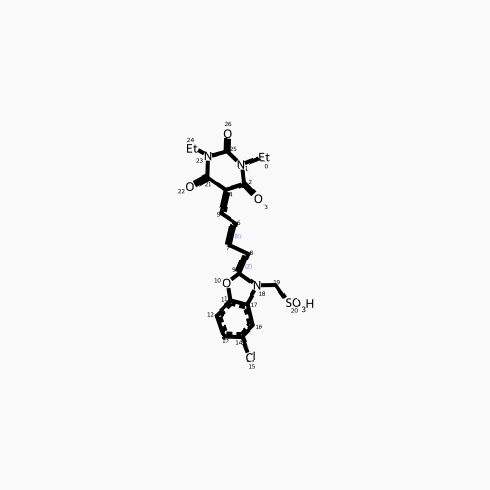 CCN1C(=O)C(=C/C=C/C=C2\Oc3ccc(Cl)cc3N2CS(=O)(=O)O)C(=O)N(CC)C1=O